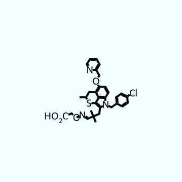 CC1Cc2c(OCc3ccccn3)ccc3c2c(c(CC(C)(C)C=NOCC(=O)O)n3Cc2ccc(Cl)cc2)S1